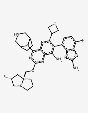 Nc1nc2c(-c3c(C4COC4)nc4c(N5C6CCC5CNC6)nc(OC[C@@]56CCCN5C[C@H](F)C6)nc4c3N)ccc(F)c2s1